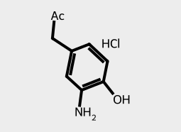 CC(=O)Cc1ccc(O)c(N)c1.Cl